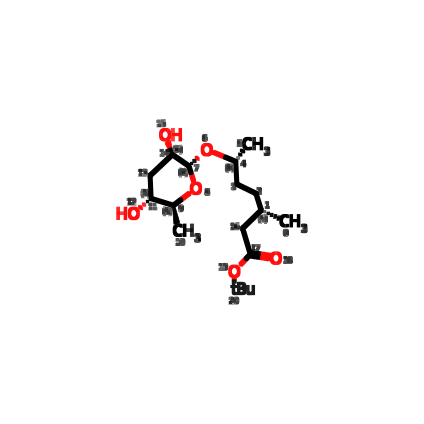 C[C@@H](CC[C@@H](C)O[C@@H]1O[C@@H](C)[C@H](O)C[C@H]1O)CC(=O)OC(C)(C)C